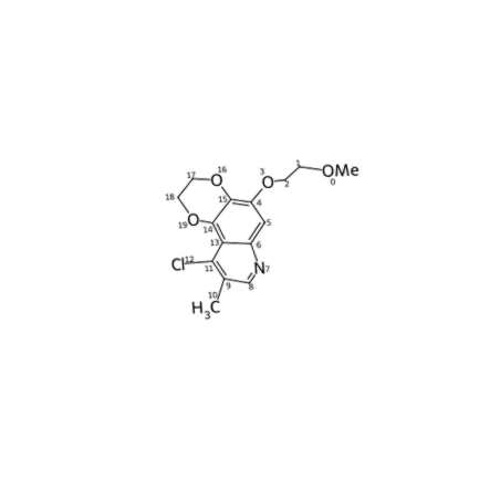 COCCOc1cc2ncc(C)c(Cl)c2c2c1OCCO2